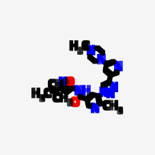 Cc1ncc(C(=O)Nc2cc(C(C)(C)C)no2)cc1-n1cc(-c2cncc(N3CCN(C)CC3)c2)nn1